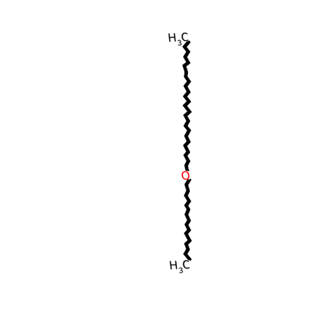 CCCCCCCCCCCCCCCCCCCCCCCCCCCCOCCCCCCCCCCCCCCCCCC